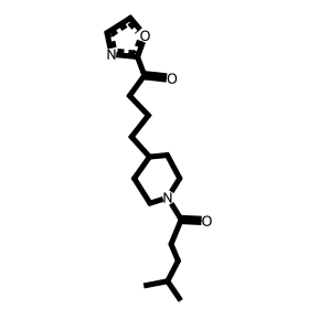 CC(C)CCC(=O)N1CCC(CCCC(=O)c2ncco2)CC1